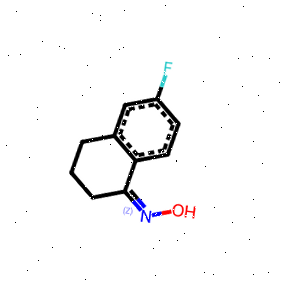 O/N=C1/CCCc2cc(F)ccc21